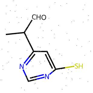 CC(C=O)c1cc(S)ncn1